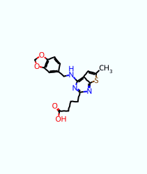 Cc1cc2c(NCc3ccc4c(c3)OCO4)nc(CCCC(=O)O)nc2s1